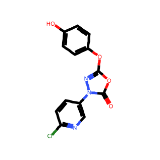 O=c1oc(Oc2ccc(O)cc2)nn1-c1ccc(Cl)nc1